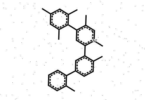 Cc1cc(C)c(-c2cc(-c3cc(-c4ccccc4C)ccc3C)[n+](C)cc2C)c(C)c1